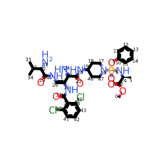 COC(=O)[C@H](C)NP(=O)(Oc1ccccc1)N1CCC(NC(=O)C(=N)/C(=C\NC(=O)[C@@H](N)C(C)C)NC(=O)c2c(Cl)cccc2Cl)CC1